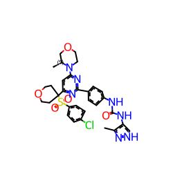 Cc1n[nH]cc1NC(=O)Nc1ccc(-c2nc(N3CCOC[C@@H]3C)cc(C3(S(=O)(=O)c4ccc(Cl)cc4)CCOCC3)n2)cc1